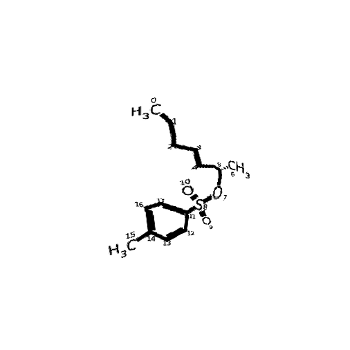 CCCCC[C@H](C)OS(=O)(=O)c1ccc(C)cc1